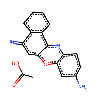 CC(=O)O.N=c1cc2oc3cc(N)ccc3nc-2c2ccccc12